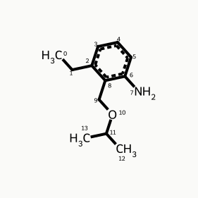 CCc1cccc(N)c1COC(C)C